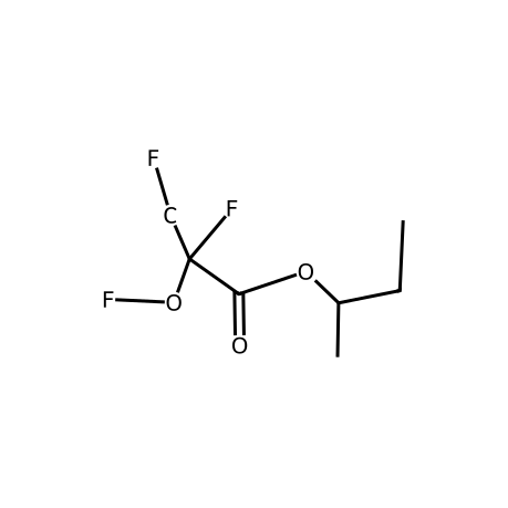 CCC(C)OC(=O)C(F)(CF)OF